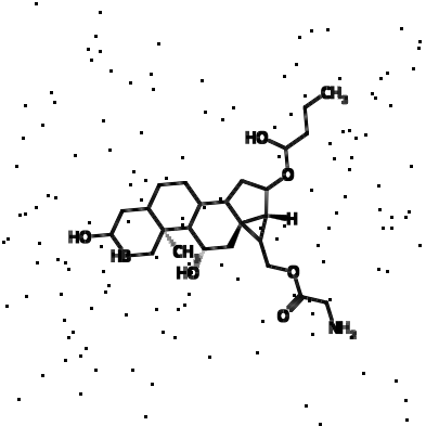 CCCC(O)OC1CC2C3CCC4CC(O)BC[C@]4(C)C3[C@@H](O)C[C@@]23C(COC(=O)CN)[C@@H]13